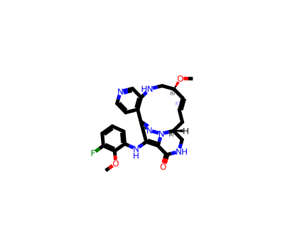 COc1c(F)cccc1Nc1c2nn3c1C(=O)NC[C@H]3C/C=C/[C@H](OC)CNc1cnccc1-2